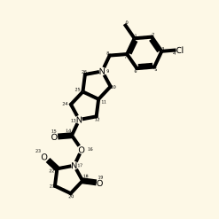 Cc1cc(Cl)ccc1CN1CC2CN(C(=O)ON3C(=O)CCC3=O)CC2C1